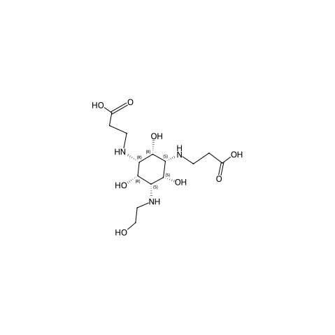 O=C(O)CCN[C@@H]1[C@H](O)[C@H](NCCC(=O)O)[C@H](O)[C@H](NCCO)[C@@H]1O